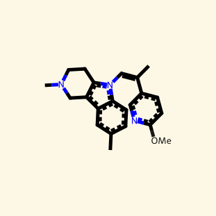 COc1ccc(/C(C)=C\n2c3c(c4cc(C)ccc42)CN(C)CC3)cn1